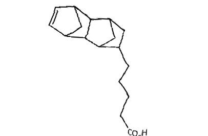 O=C(O)CCCCC1CC2CC1C1C3C=CC(C3)C21